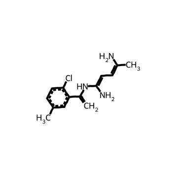 C=C(N/C(N)=C/C=C(/C)N)c1cc(C)ccc1Cl